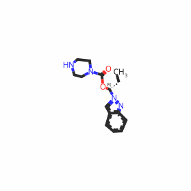 CC[C@@H](OC(=O)N1CCNCC1)n1cc2ccccc2n1